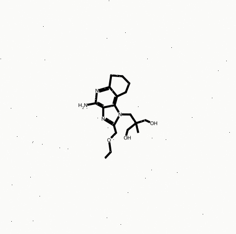 CCOCc1nc2c(N)nc3c(c2n1CC(C)(CO)CO)CCCC3